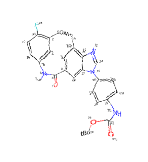 COc1cc(N(C)C(=O)c2cc(C)c3ncn(-c4ccc(NC(=O)OC(C)(C)C)cc4)c3c2)ccc1F